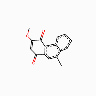 COC1=CC(=O)c2cc(C)c3ccccc3c2C1=O